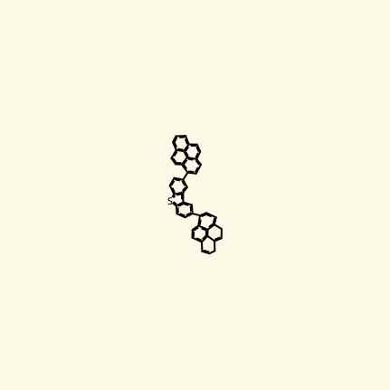 C1=Cc2ccc3c(-c4ccc5sc6ccc(-c7ccc8ccc9cccc%10ccc7c8c9%10)cc6c5c4)ccc4c3c2C(=CC4)C1